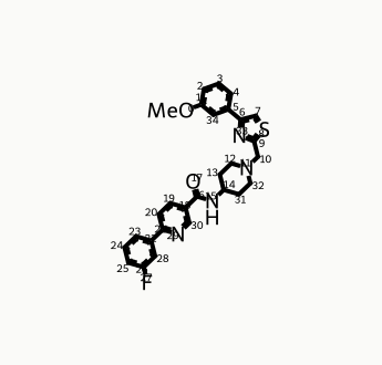 COc1cccc(-c2csc(CN3CCC(NC(=O)c4ccc(-c5cccc(F)c5)nc4)CC3)n2)c1